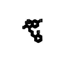 COC(=O)C(CC=Cc1ccccc1Cl)c1ccc(Cl)cc1Cl